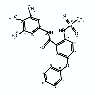 Cc1cc(NC(=O)c2cc(Oc3ccccc3)ccc2NS(C)(=O)=O)cc(C(F)(F)F)c1C